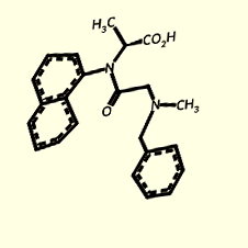 C[C@@H](C(=O)O)N(C(=O)CN(C)Cc1ccccc1)c1cccc2ccccc12